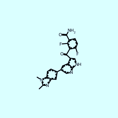 Cc1nc2cc(-c3cnc4[nH]cc(C(=O)c5c(F)ccc(C(N)=O)c5F)c4c3)ccc2n1C